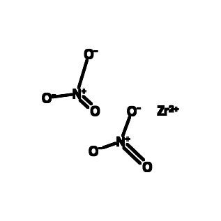 O=[N+]([O-])[O-].O=[N+]([O-])[O-].[Zr+2]